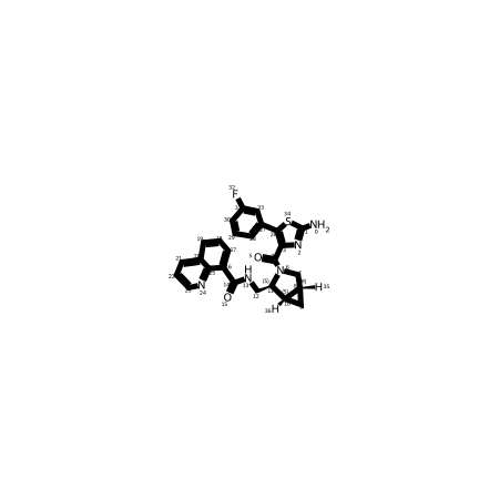 Nc1nc(C(=O)N2C[C@@H]3C[C@@H]3[C@H]2CNC(=O)c2cccc3cccnc23)c(-c2cccc(F)c2)s1